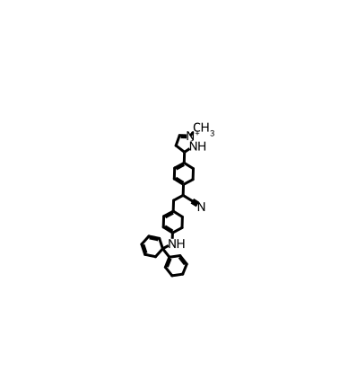 C[N+]1=CCC(C2=CC=C(C(C#N)CC3=CC=C(NC4(C5=CCCC=C5)C=CC=CC4)CC3)CC2)N1